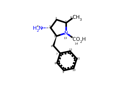 CC1C[C@@H](N)[C@H](Cc2ccccc2)N1C(=O)O